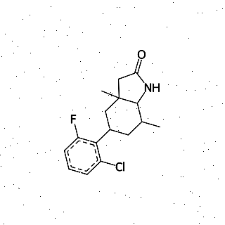 CC1CC(c2c(F)cccc2Cl)CC2(C)CC(=O)NC12